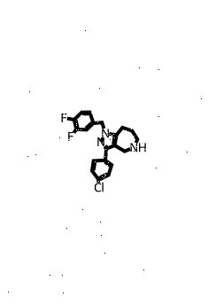 Fc1ccc(Cn2nc(-c3ccc(Cl)cc3)c3c2CCCNC3)cc1F